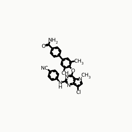 Cc1cc(-c2ccc(C(N)=O)cc2)cc(C)c1Oc1nc(Nc2ccc(C#N)cc2)nc2c(Cl)cn(C)c12